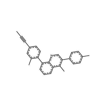 CC#Cc1ccc(-c2cccc3c(C)c(-c4ccc(C)cc4)cnc23)c(C)c1